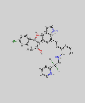 CC/C=C\C(=C/Cc1cc2c(C(=O)NC)c(-c3ccc(F)cc3)oc2c2cc[nH]c12)CNCC(F)(F)c1ccccn1